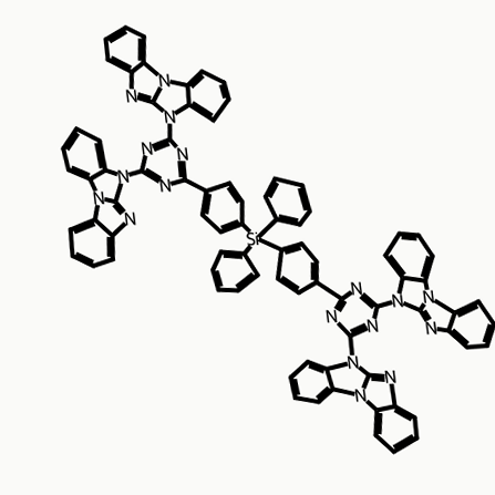 c1ccc([Si](c2ccccc2)(c2ccc(-c3nc(-n4c5ccccc5n5c6ccccc6nc45)nc(-n4c5ccccc5n5c6ccccc6nc45)n3)cc2)c2ccc(-c3nc(-n4c5ccccc5n5c6ccccc6nc45)nc(-n4c5ccccc5n5c6ccccc6nc45)n3)cc2)cc1